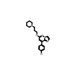 Clc1ccc(-c2cc(OCCCN3CCCCC3)nn3ccnc23)cc1